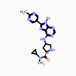 CCn1c(-c2cnc(C)nc2)nc2c(NC3CN[C@@H](C(=O)N(C)C4CC4)C3)ncnc21